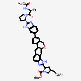 COCC1CC(c2nc3ccc4cc5c(cc4c3[nH]2)OCc2cc(-c3ccc4nc([C@@H]6CCCN6C(=O)[C@@H](NC(=O)OC)C(C)C)[nH]c4c3)ccc2-5)N(C(=O)OC(C)(C)C)C1